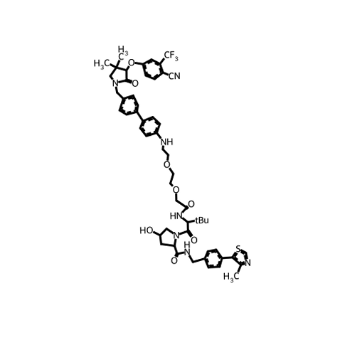 Cc1ncsc1-c1ccc(CNC(=O)C2CC(O)CN2C(=O)C(NC(=O)COCCOCCNc2ccc(-c3ccc(CN4CC(C)(C)C(Oc5ccc(C#N)c(C(F)(F)F)c5)C4=O)cc3)cc2)C(C)(C)C)cc1